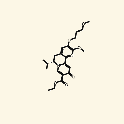 CCOC(=O)c1cn2c(cc1=O)-c1nc(OC)c(OCCCOC)cc1C[C@H]2C(C)C